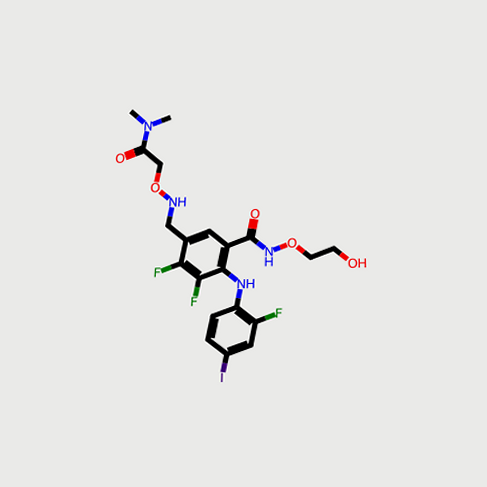 CN(C)C(=O)CONCc1cc(C(=O)NOCCO)c(Nc2ccc(I)cc2F)c(F)c1F